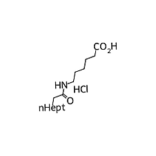 CCCCCCCCC(=O)NCCCCCC(=O)O.Cl